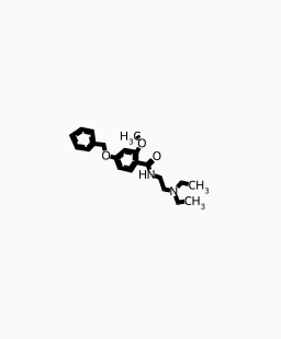 CCN(CC)CCNC(=O)c1ccc(OCc2ccccc2)cc1OC